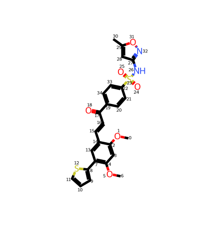 COc1cc(OC)c(-c2cccs2)cc1C=CC(=O)c1ccc(S(=O)(=O)Nc2cc(C)on2)cc1